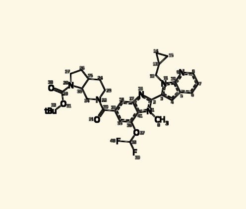 Cn1c(-c2cc3cccnc3n2CC2CC2)nc2cc(C(=O)N3CCC4CCN(C(=O)OC(C)(C)C)C4C3)cc(OC(F)F)c21